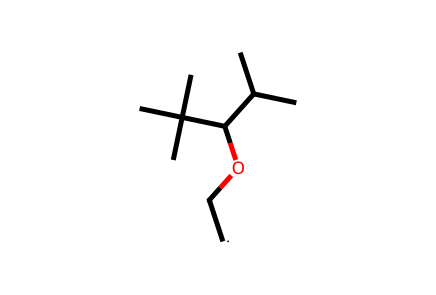 [CH2]COC(C(C)C)C(C)(C)C